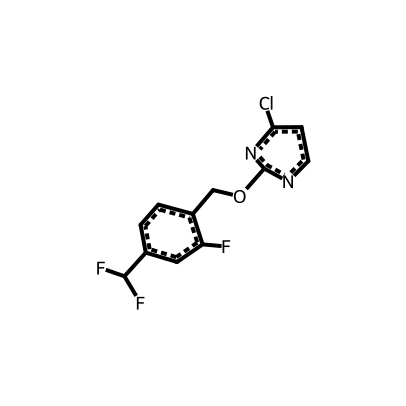 Fc1cc(C(F)F)ccc1COc1nccc(Cl)n1